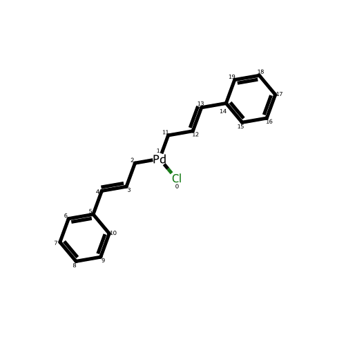 [Cl][Pd]([CH2]C=Cc1ccccc1)[CH2]C=Cc1ccccc1